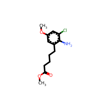 COC(=O)CCCCc1cc(OC)cc(Cl)c1N